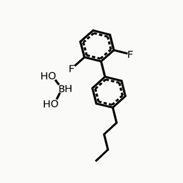 CCCCc1ccc(-c2c(F)cccc2F)cc1.OBO